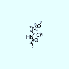 C=CC(=O)NCC[N+](C)(C)COC.[Cl-]